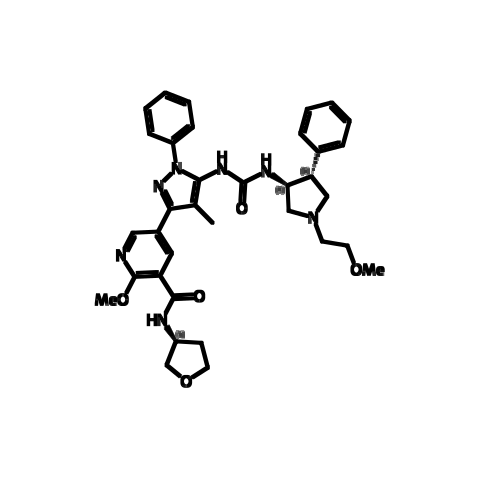 COCCN1C[C@@H](NC(=O)Nc2c(C)c(-c3cnc(OC)c(C(=O)N[C@H]4CCOC4)c3)nn2-c2ccccc2)[C@H](c2ccccc2)C1